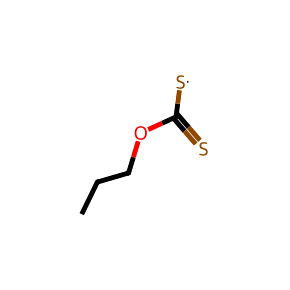 CCCOC([S])=S